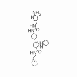 Nc1ccc(CNC(=O)N[C@H]2CC[C@H](c3ccc(C(=O)NCCN4CCCCC4)c(Nc4ccccc4)n3)CC2)cn1